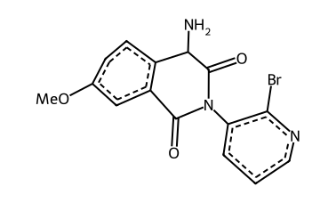 COc1ccc2c(c1)C(=O)N(c1cccnc1Br)C(=O)C2N